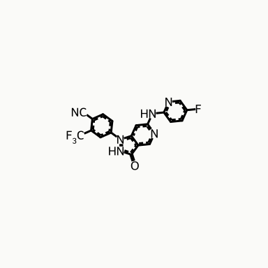 N#Cc1ccc(-n2[nH]c(=O)c3cnc(Nc4ccc(F)cn4)cc32)cc1C(F)(F)F